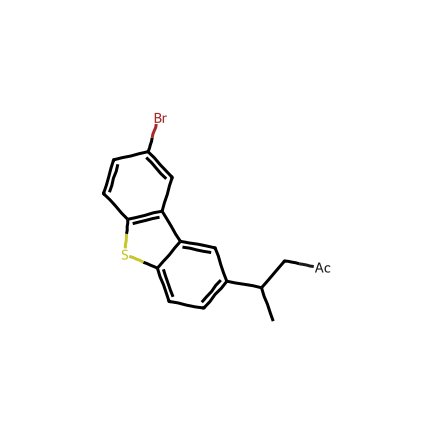 CC(=O)CC(C)c1ccc2sc3ccc(Br)cc3c2c1